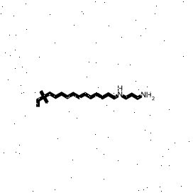 CCC(C)(C)CCCCCCCCCCCCNCCCN